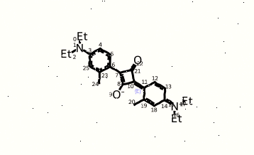 CCN(CC)c1ccc(C2=C([O-])/C(=C3/C=CC(=[N+](CC)CC)C=C3C)C2=O)c(C)c1